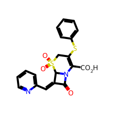 O=C(O)C1=C(Sc2ccccc2)CS(=O)(=O)C2/C(=C\c3ccccn3)C(=O)N12